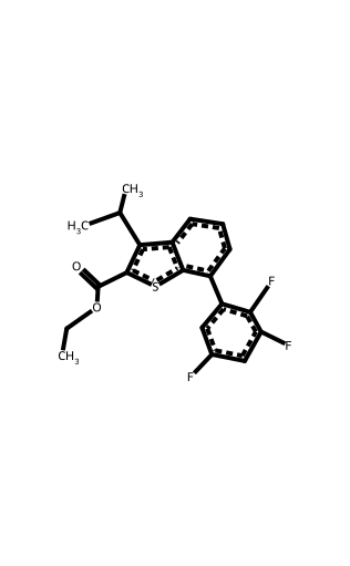 CCOC(=O)c1sc2c(-c3cc(F)cc(F)c3F)cccc2c1C(C)C